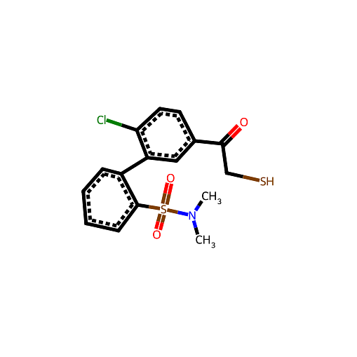 CN(C)S(=O)(=O)c1ccccc1-c1cc(C(=O)CS)ccc1Cl